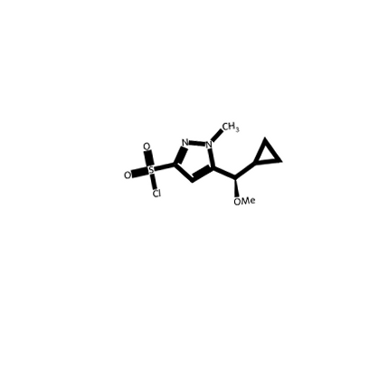 CO[C@@H](c1cc(S(=O)(=O)Cl)nn1C)C1CC1